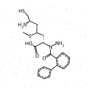 CSC(C[C@@H](N)CS)C[C@@H](C(=O)O)N(N)C(=O)c1ccccc1-c1ccccc1